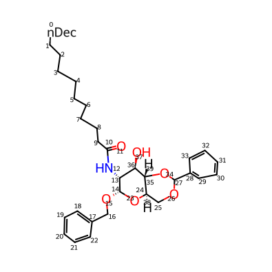 CCCCCCCCCCCCCCCCCCCC(=O)N[C@H]1[C@@H](OCc2ccccc2)O[C@@H]2COC(c3ccccc3)O[C@H]2[C@@H]1O